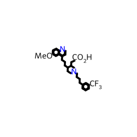 COc1ccc2nccc(CCCC3CCN(CCCCc4cccc(C(F)(F)F)c4)CC3CCC(=O)O)c2c1